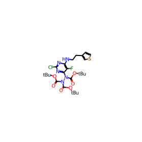 CC(C)(C)OC(=O)N(C(=O)OC(C)(C)C)N(C(=O)OC(C)(C)C)c1nc(Cl)nc(NCCc2ccsc2)c1F